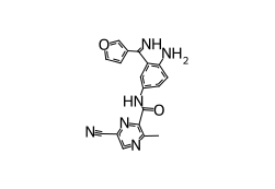 Cc1ncc(C#N)nc1C(=O)Nc1ccc(N)c(C(=N)c2ccoc2)c1